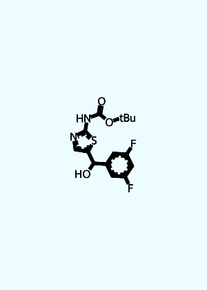 CC(C)(C)OC(=O)Nc1ncc(C(O)c2cc(F)cc(F)c2)s1